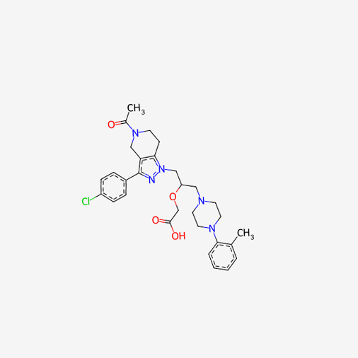 CC(=O)N1CCc2c(c(-c3ccc(Cl)cc3)nn2CC(CN2CCN(c3ccccc3C)CC2)OCC(=O)O)C1